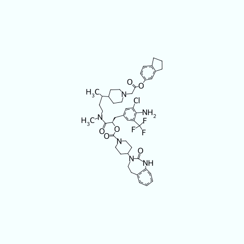 CC(CCN(C)C(=O)[C@@H](Cc1cc(Cl)c(N)c(C(F)(F)F)c1)OC(=O)N1CCC(N2CCc3ccccc3NC2=O)CC1)C1CCN(CC(=O)Oc2ccc3c(c2)CCC3)CC1